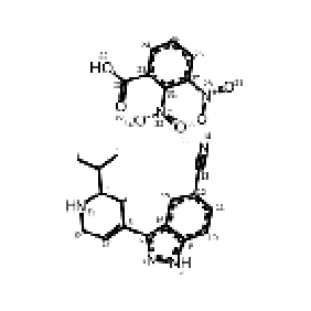 CC(C)C1CC(c2n[nH]c3ccc(C#N)cc23)=CCN1.O=C(O)c1cccc([N+](=O)[O-])c1[N+](=O)[O-]